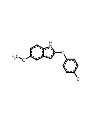 FC(F)(F)Oc1ccc2[nH]c(Oc3ccc(Cl)cc3)cc2c1